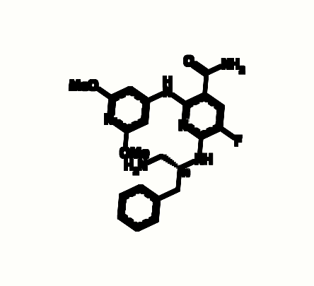 COc1cc(Nc2nc(N[C@@H](CN)Cc3ccccc3)c(F)cc2C(N)=O)cc(OC)n1